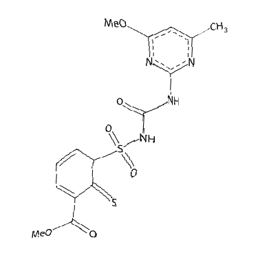 COC(=O)C1=CC=CC(S(=O)(=O)NC(=O)Nc2nc(C)cc(OC)n2)C1=S